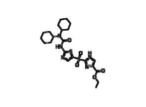 CCOC(=O)c1c[nH]c(S(=O)(=O)c2cnc(NC(=O)N(C3CCCCC3)C3CCCCC3)s2)n1